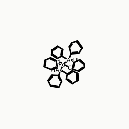 [Cl][Pd]([Cl])([AsH](c1ccccc1)(c1ccccc1)c1ccccc1)[AsH](c1ccccc1)(c1ccccc1)c1ccccc1